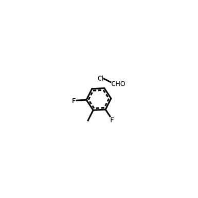 Cc1c(F)cccc1F.O=CCl